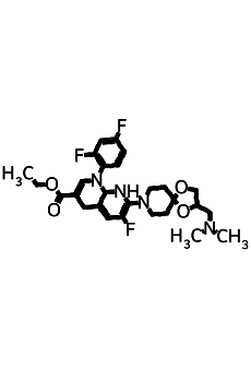 CCOC(=O)C1=CN(c2ccc(F)cc2F)C2NC(N3CCC4(CC3)OCC(CN(C)C)O4)=C(F)C=C2C1